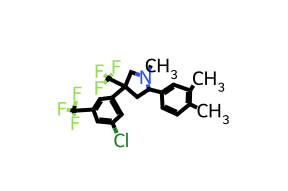 Cc1ccc(C2CC(c3cc(Cl)cc(C(F)(F)F)c3)(C(F)(F)F)CN2C)cc1C